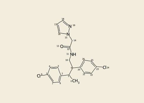 CC(c1ccc(Cl)cc1)C(CNC(=O)Cn1cccn1)c1ccc(Cl)cc1